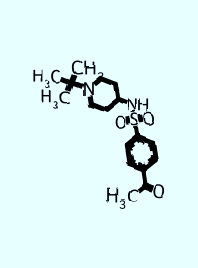 CC(=O)c1ccc(S(=O)(=O)NC2CCN(C(C)(C)C)CC2)cc1